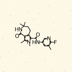 Cc1cc(NC(=O)c2c3c(c(C)n2C)C(=O)NC(C)(C)CC3)cnc1F